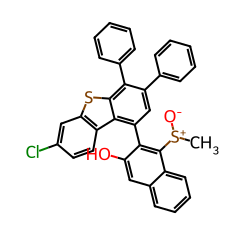 C[S+]([O-])c1c(-c2cc(-c3ccccc3)c(-c3ccccc3)c3sc4cc(Cl)ccc4c23)c(O)cc2ccccc12